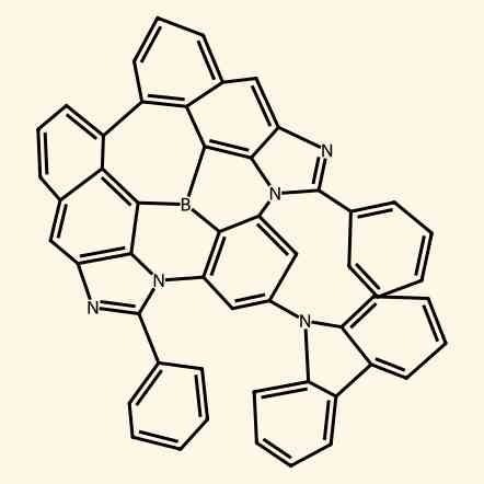 c1ccc(-c2nc3cc4cccc5c4c4c3n2-c2cc(-n3c6ccccc6c6ccccc63)cc3c2B4c2c4c-5cccc4cc4nc(-c5ccccc5)n-3c24)cc1